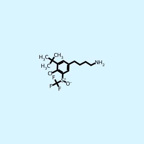 CC(C)(C)c1cc(CCCCN)cc([S+]([O-])C(F)(F)F)c1Cl